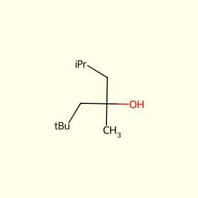 CC(C)CC(C)(O)CC(C)(C)C